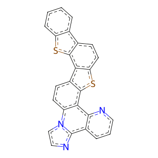 c1ccc2c(c1)sc1c2ccc2sc3c(ccc4c3c3ncccc3c3nccn43)c21